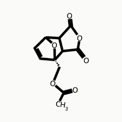 CC(=O)OC[C@]12C=CC(O1)C1C(=O)OC(=O)C12